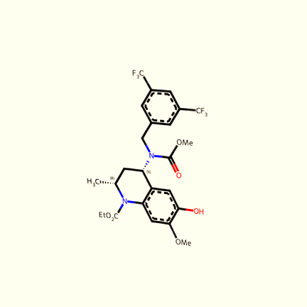 CCOC(=O)N1c2cc(OC)c(O)cc2[C@@H](N(Cc2cc(C(F)(F)F)cc(C(F)(F)F)c2)C(=O)OC)C[C@H]1C